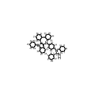 c1ccc(C2Nc3ccccc3N2c2ccc(N3c4ccccc4-c4ccccc4-c4c3c3ccccc3n4-c3ccccc3)cc2)cc1